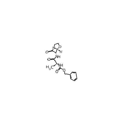 C[C@H](NC(=O)OCc1ccccc1)C(=O)N[C@@H]1C(=O)N2CCO[C@H]12